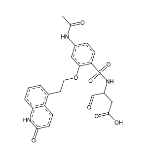 CC(=O)Nc1ccc(S(=O)(=O)NC(C=O)CC(=O)O)c(OCCc2cccc3[nH]c(=O)ccc23)c1